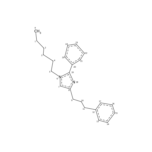 CCCCCCn1cc(CCCc2ccccc2)nc1-c1ccccc1